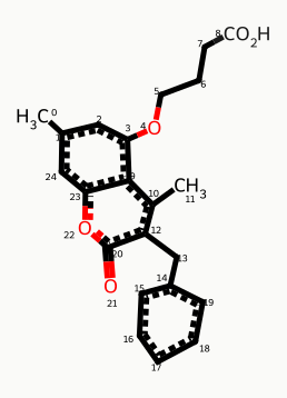 Cc1cc(OCCCC(=O)O)c2c(C)c(Cc3ccccc3)c(=O)oc2c1